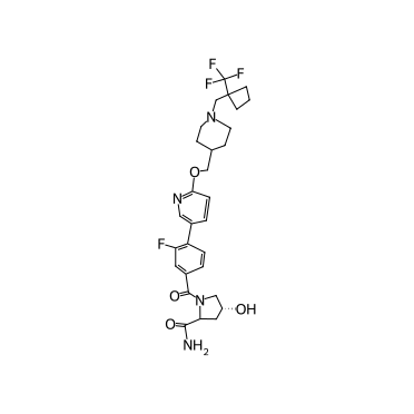 NC(=O)C1C[C@@H](O)CN1C(=O)c1ccc(-c2ccc(OCC3CCN(CC4(C(F)(F)F)CCC4)CC3)nc2)c(F)c1